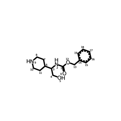 O=C(NC(CO)C1CCNCC1)OCc1ccccc1